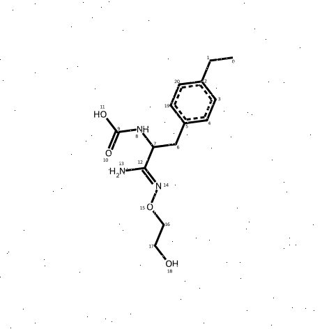 CCc1ccc(CC(NC(=O)O)C(N)=NOCCO)cc1